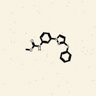 COC(=O)Nc1cccc(-n2ccc(Sc3ccccc3)n2)c1